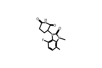 Cc1ccc(F)c2c1n(C)c(=O)n2C1CCC(=O)NC1=O